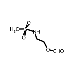 CS(=O)(=O)NCCOC=O